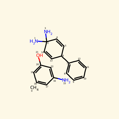 C.NC1(N)C=CC(c2ccccc2)C=C1.Nc1cccc(O)c1